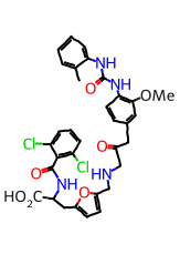 COc1cc(CC(=O)CNCc2ccc(CC(NC(=O)c3c(Cl)cccc3Cl)C(=O)O)o2)ccc1NC(=O)Nc1ccccc1C